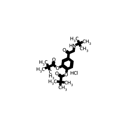 CC(C)(C)NCC(=O)c1ccc(OC(=O)C(C)(C)C)c(OC(=O)C(C)(C)C)c1.Cl